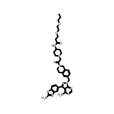 CCCOCCOCCC(=O)NC1CCN(CC(=O)N2CCc3cc(Cn4nc(-c5ccc6oc(N)nc6c5)c5c(N)ncnc54)ccc3C2)CC1